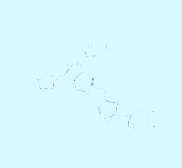 CCC(C)n1nc(N2CCC(O)C2)c2cnc(Nc3ccnc(N4CC[C@H](O)[C@H](F)C4)n3)cc21